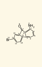 Nc1cccc2c1C(=O)c1cc(Br)ccc1-2